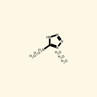 Nc1nnn[nH]1.O.O.O.O.O